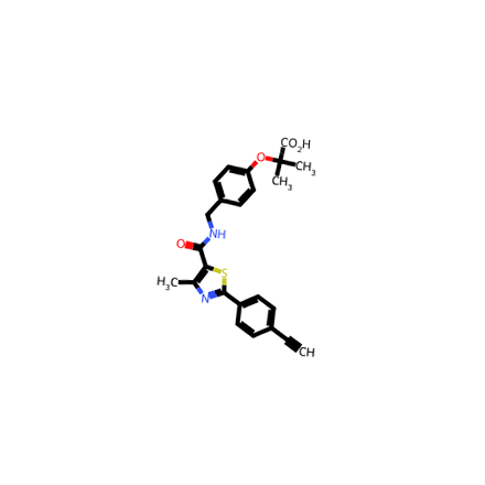 C#Cc1ccc(-c2nc(C)c(C(=O)NCc3ccc(OC(C)(C)C(=O)O)cc3)s2)cc1